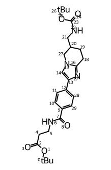 CC(C)(C)OC(=O)CCNC(=O)c1ccc(-c2cn3c(n2)CCC(CNC(=O)OC(C)(C)C)C3)cc1